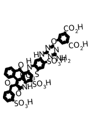 Nc1nc(Nc2cc(Nc3cc(S(=O)(=O)O)c4[nH]c(=O)c(C(=O)c5cccc(S(=O)(=O)O)c5)c5c4c3C(=O)c3ccccc3-5)c(S(=O)(=O)O)cc2S(=O)(=O)O)nc(Oc2cc(C(=O)O)cc(C(=O)O)c2)n1